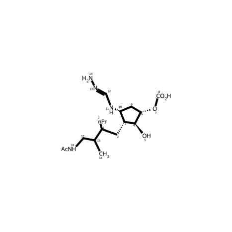 CCCC(C[C@H]1[C@H](O)[C@@H](OC(=O)O)C[C@H]1NC=NN)C(C)CNC(C)=O